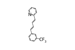 FC(F)(F)c1cccc(C=CC=Cc2ccccn2)c1